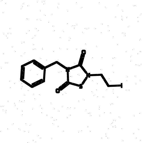 O=c1sn(CCI)c(=O)n1Cc1ccccc1